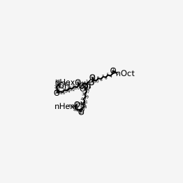 CCCCCCCCC1OC1CCCCCCCC(=O)OCC(COC(=O)CCCCCCCC1OC1C[C@H](O)CCCCCC)OC(=O)CCCCCCCC1OC1C[C@H](O)CCCCCC